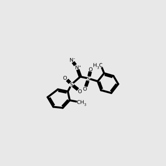 Cc1ccccc1S(=O)(=O)C(=[N+]=[N-])S(=O)(=O)c1ccccc1C